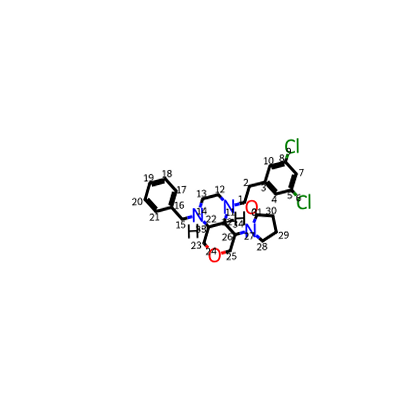 O=C(Cc1cc(Cl)cc(Cl)c1)N1CCN(Cc2ccccc2)[C@@H]2COCC(N3CCCC3)[C@H]21